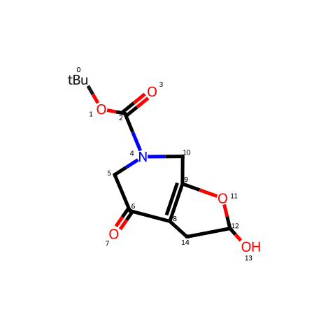 CC(C)(C)OC(=O)N1CC(=O)C2=C(C1)OC(O)C2